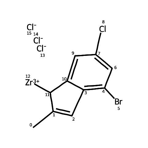 CC1=Cc2c(Br)cc(Cl)cc2[CH]1[Zr+3].[Cl-].[Cl-].[Cl-]